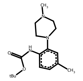 Cc1ccc(NC(=O)OC(C)(C)C)c(N2CCN(C)CC2)c1